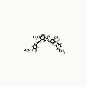 CC(=O)Nc1ncc(C#Cc2cc(C(=O)Nc3ccc(CN4CCN(C)CC4)c(C(F)(F)F)c3)ccc2C)cc1F